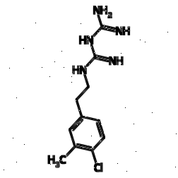 Cc1cc(CCNC(=N)NC(=N)N)ccc1Cl